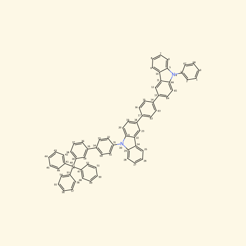 c1ccc(-n2c3ccccc3c3cc(-c4ccc(-c5ccc6c(c5)c5ccccc5n6-c5ccc(-c6cccc([Si](c7ccccc7)(c7ccccc7)c7ccccc7)c6)cc5)cc4)ccc32)cc1